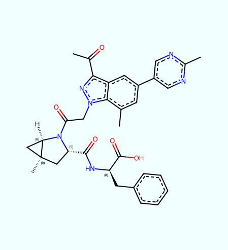 CC(=O)c1nn(CC(=O)N2[C@H](C(=O)N[C@H](Cc3ccccc3)C(=O)O)C[C@@]3(C)C[C@@H]23)c2c(C)cc(-c3cnc(C)nc3)cc12